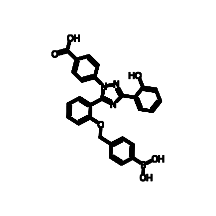 O=C(O)c1ccc(-n2nc(-c3ccccc3O)nc2-c2ccccc2OCc2ccc(B(O)O)cc2)cc1